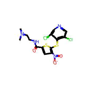 CN(C)CCNC(=O)c1cc([N+](=O)[O-])c(Sc2c(Cl)cncc2Cl)s1